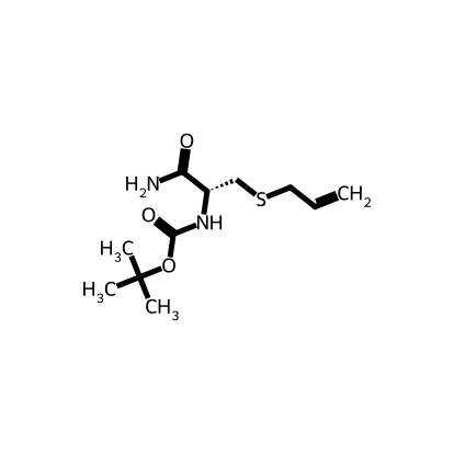 C=CCSC[C@H](NC(=O)OC(C)(C)C)C(N)=O